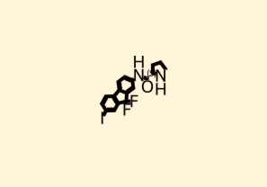 O=C(Nc1ccc2c(c1)C(F)(F)c1cc(I)ccc1-2)[C@@H]1CCCN1